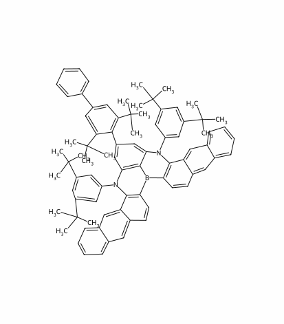 CC(C)(C)c1cc(N2c3cc(-c4c(C(C)(C)C)cc(-c5ccccc5)cc4C(C)(C)C)cc4c3B(c3ccc5cc6ccccc6cc5c32)c2ccc3cc5ccccc5cc3c2N4c2cc(C(C)(C)C)cc(C(C)(C)C)c2)cc(C(C)(C)C)c1